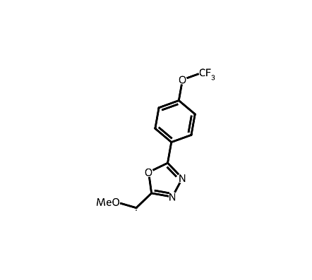 CO[CH]c1nnc(-c2ccc(OC(F)(F)F)cc2)o1